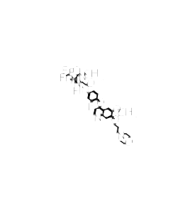 COc1cc2c(Oc3ccc(NC(=O)c4nn(OC(F)(F)F)c(=O)n4C)cc3F)ccnc2cc1OCCCN1CCOCC1